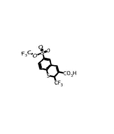 O=C(O)C1=Cc2cc(S(=O)(=O)OC(F)(F)F)ccc2SC1C(F)(F)F